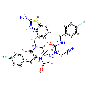 N#CCN(C(=O)NCc1ccc(F)cc1)N1CC(=O)N2[C@@H](Cc3ccc(F)cc3)C(=O)N(Cc3cccc4sc(N)nc34)C[C@@H]21